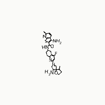 Cc1ccc2c(N)c(C(=O)NC3CCc4nc(N5CC(N)C6(C5)OCCC6C)cc(F)c4C3)sc2n1